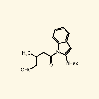 CCCCCCc1cc2ccccc2n1C(=O)CC(C)CC=O